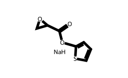 O=C(Oc1cccs1)C1CO1.[NaH]